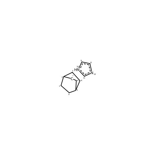 C1CC2CCC1CC2.c1c[nH]cn1